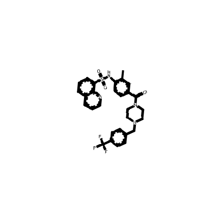 Cc1cc(C(=O)N2CCN(Cc3ccc(C(F)(F)F)cc3)CC2)ccc1NS(=O)(=O)c1cccc2cccnc12